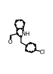 O=Cc1c(Cc2ccc(Cl)cc2)[nH]c2ccccc12